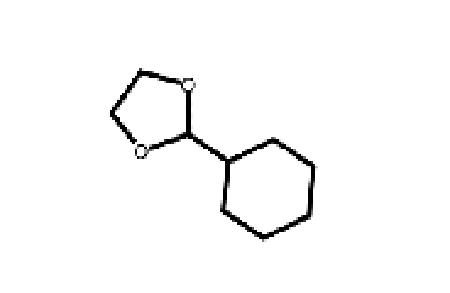 C1CC[C](C2OCCO2)CC1